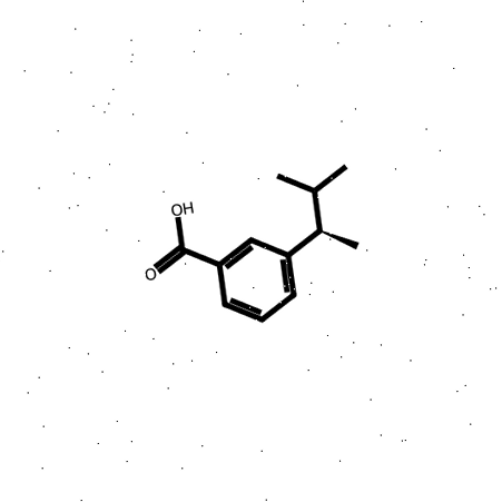 CC(C)[C@@H](C)c1cccc(C(=O)O)c1